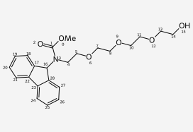 COC(=O)N(CCOCCOCCOCCO)C1c2ccccc2-c2ccccc21